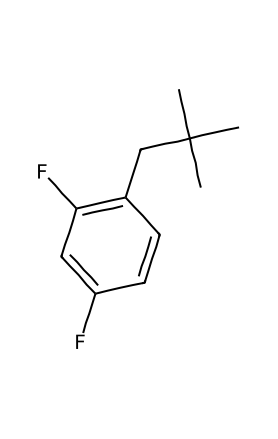 CC(C)(C)Cc1ccc(F)cc1F